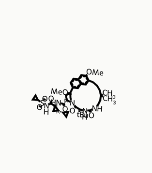 COc1cc2ccc3cc2cc1CCCC(C)(C)CCNC(=O)N[C@@H](C(C)(C)C)C(=O)N1C[C@@]3(OC)C[C@H]1C(=O)N[C@]1(C(=O)NS(=O)(=O)C2CC2)C[C@H]1C1CC1